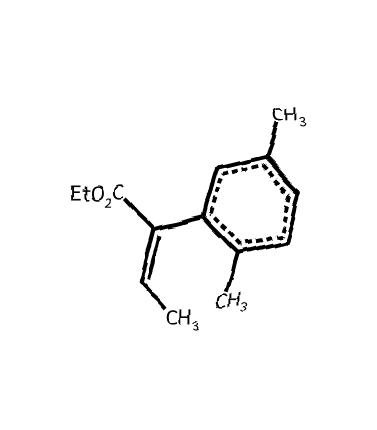 C/C=C(/C(=O)OCC)c1cc(C)ccc1C